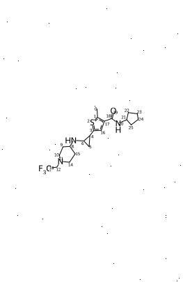 Cc1sc(C2CC2NC2CCN(CC(F)(F)F)CC2)cc1C(=O)NC1CCCC1